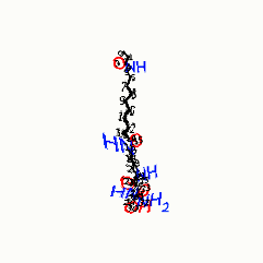 CCC(=O)NCCCCCCCCCC(=O)NCCCC[C@H](NC)C(=O)CN[C@@H](CO)C(N)=O